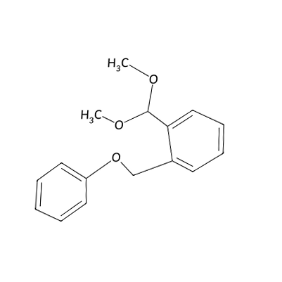 COC(OC)c1ccccc1COc1ccccc1